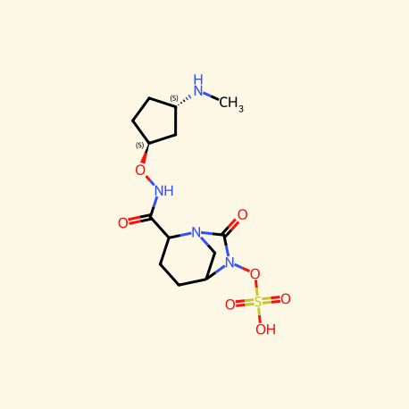 CN[C@H]1CC[C@H](ONC(=O)C2CCC3CN2C(=O)N3OS(=O)(=O)O)C1